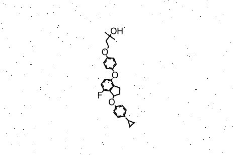 CC(C)(O)CCOc1ccc(Oc2ccc(F)c3c2CCC3Oc2ccc(C3CC3)cc2)cc1